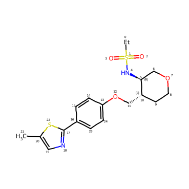 CCS(=O)(=O)N[C@H]1COCC[C@@H]1COc1ccc(-c2ncc(C)s2)cc1